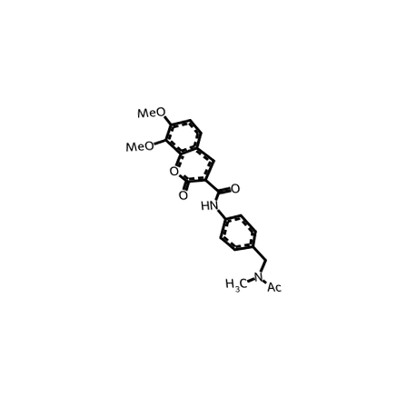 COc1ccc2cc(C(=O)Nc3ccc(CN(C)C(C)=O)cc3)c(=O)oc2c1OC